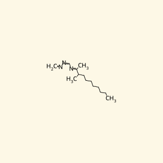 C=N/N=C\N=C(/C)C(C)CCCCCCCC